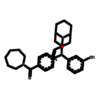 C=CCN1C2CCCC1CN(C(c1ccc(C(=O)N3CCCCCC3)cc1)c1cccc(O)c1)C2